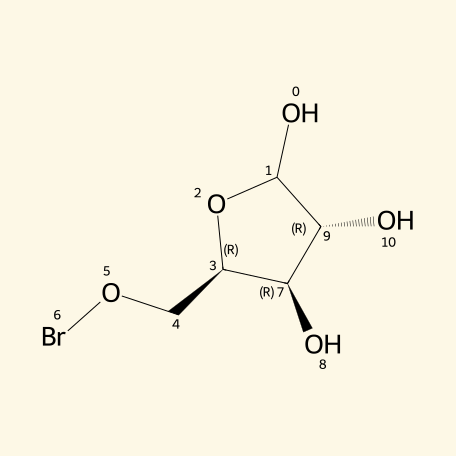 OC1O[C@H](COBr)[C@H](O)[C@H]1O